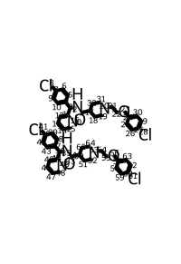 O=C(NC(c1ccc(Cl)cc1)c1ccccn1)C1CCN(CCOc2ccc(Cl)cc2)CC1.O=C(NC(c1ccc(Cl)cc1)c1ccccn1)C1CCN(CCOc2ccc(Cl)cc2)CC1